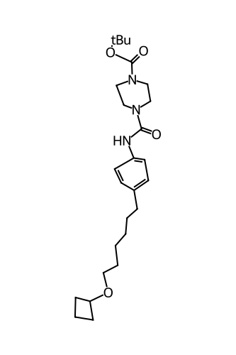 CC(C)(C)OC(=O)N1CCN(C(=O)Nc2ccc(CCCCCCOC3CCC3)cc2)CC1